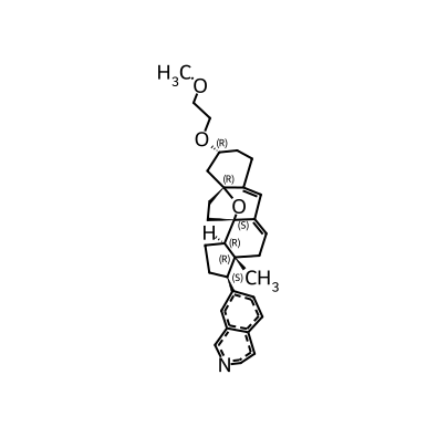 COCCO[C@@H]1CCC2=CC3=CC[C@]4(C)[C@@H](c5ccc6ccncc6c5)CC[C@H]4[C@@]34CC[C@]2(C1)O4